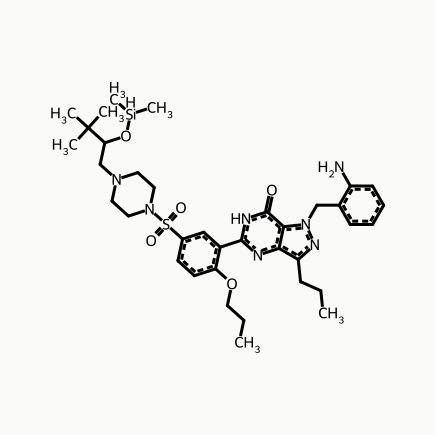 CCCOc1ccc(S(=O)(=O)N2CCN(CC(O[SiH](C)C)C(C)(C)C)CC2)cc1-c1nc2c(CCC)nn(Cc3ccccc3N)c2c(=O)[nH]1